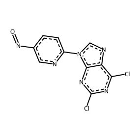 O=Nc1ccc(-n2cnc3c(Cl)nc(Cl)nc32)nc1